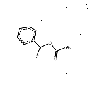 CCCCC(=O)OC(CC)c1ccccc1